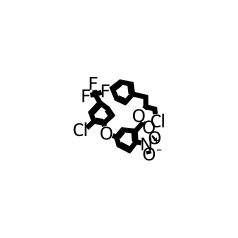 O=C(OC(CCl)Cc1ccccc1)c1cc(Oc2ccc(C(F)(F)F)cc2Cl)ccc1[N+](=O)[O-]